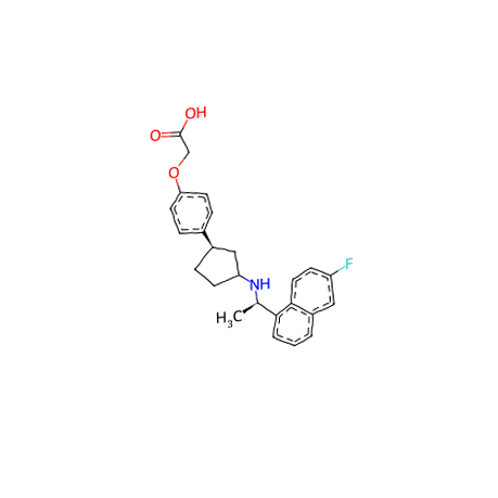 C[C@@H](NC1CC[C@@H](c2ccc(OCC(=O)O)cc2)C1)c1cccc2cc(F)ccc12